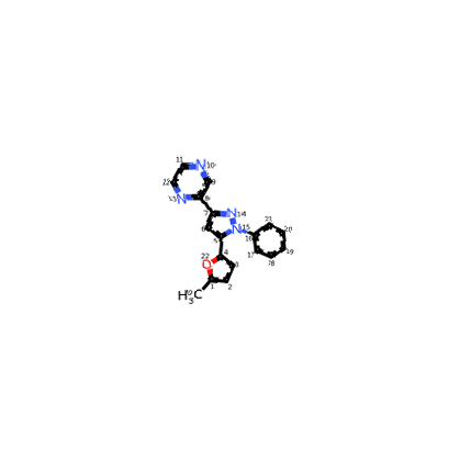 Cc1ccc(-c2cc(-c3cnccn3)nn2-c2ccccc2)o1